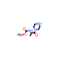 CC(NC(=O)OC(C)(C)C)C(=O)N1CCNCC1